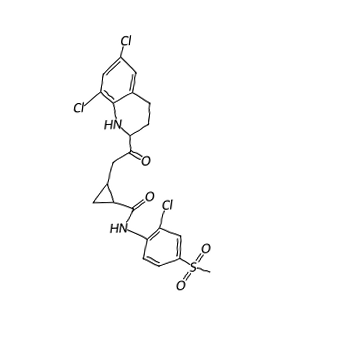 CS(=O)(=O)c1ccc(NC(=O)C2CC2CC(=O)C2CCc3cc(Cl)cc(Cl)c3N2)c(Cl)c1